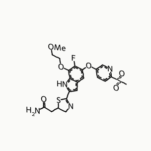 COCCOc1c(F)c(Oc2ccc(S(C)(=O)=O)nc2)cc2cc(C3=NCC(CC(N)=O)S3)[nH]c12